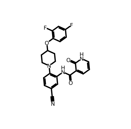 N#Cc1ccc(N2CCC(Oc3ccc(F)cc3F)CC2)c(NC(=O)c2ccc[nH]c2=O)c1